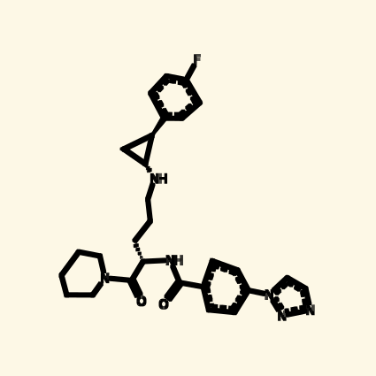 O=C(N[C@@H](CCCN[C@@H]1C[C@H]1c1ccc(F)cc1)C(=O)N1CCCCC1)c1ccc(-n2ccnn2)cc1